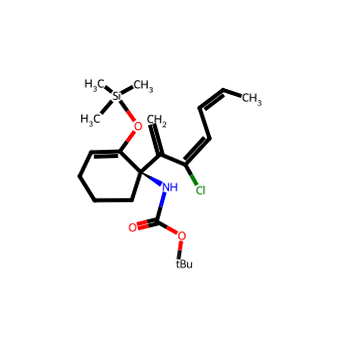 C=C(/C(Cl)=C\C=C/C)[C@]1(NC(=O)OC(C)(C)C)CCCC=C1O[Si](C)(C)C